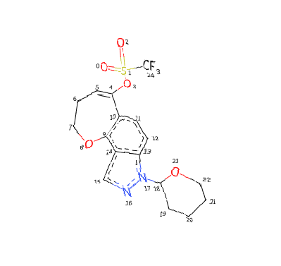 O=S(=O)(OC1=CCCOc2c1ccc1c2cnn1C1CCCCO1)C(F)(F)F